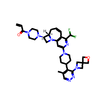 C=CC(=O)N1CCN([C@@H]2CN3c4cc(N5CCC(c6c(C)cnnc6N6CC7(COC7)C6)CC5)nc(C(F)F)c4C=CC[C@@H]23)CC1